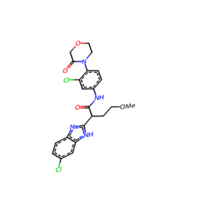 COCCC(C(=O)Nc1ccc(N2CCOCC2=O)c(Cl)c1)c1nc2ccc(Cl)cc2[nH]1